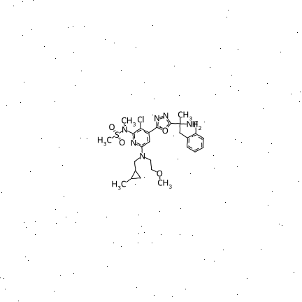 COCCN(CC1CC1C)c1cc(-c2nnc(C(C)(N)Cc3ccccc3F)o2)c(Cl)c(N(C)S(C)(=O)=O)n1